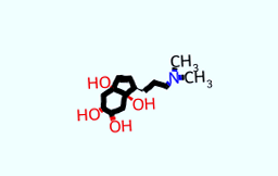 CN(C)CCC[C@H]1C=C[C@]2(O)CC(O)C(O)C[C@@]12O